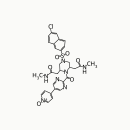 CNC(=O)CC1CN(S(=O)(=O)c2ccc3cc(Cl)ccc3c2)CC(CC(=O)NC)N1C(=O)c1ncc(-c2cc[n+]([O-])cc2)cn1